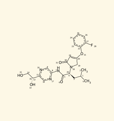 CC(C)C[C@@H](C(=O)Nc1cnc([C@H](O)CO)cn1)N1CC(Oc2ccccc2F)=CC1=O